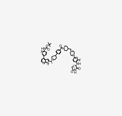 C[C@@H](c1cc2c(-c3ccc(NC(=O)OC(C)(C)C)nc3)ccnc2n1C)N1CCC(c2ccc(C(=O)N3CCC(CN4CCN(c5ccc(NC6CCC(=O)NC6=O)c(F)n5)CC4)CC3)cc2)CC1